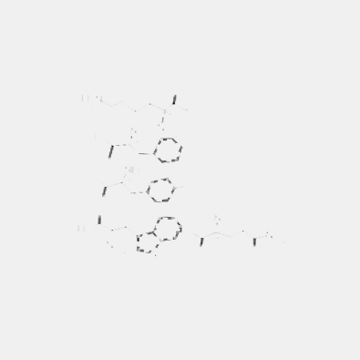 NC(=O)CC[C@H](N)C(=O)O.NCCCC[C@H](N)C(=O)O.N[C@@H](Cc1c[nH]c2ccccc12)C(=O)O.N[C@@H](Cc1ccc(O)cc1)C(=O)O.N[C@@H](Cc1ccccc1)C(=O)O